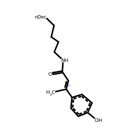 CCCCCCCCCCCCCCNC(=O)/C=C(\C)c1ccc(O)cc1